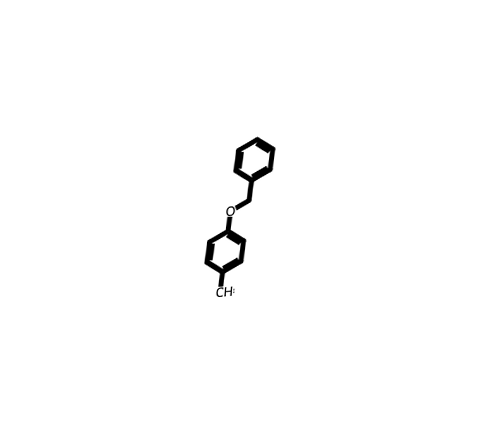 [CH]c1ccc(OCc2ccccc2)cc1